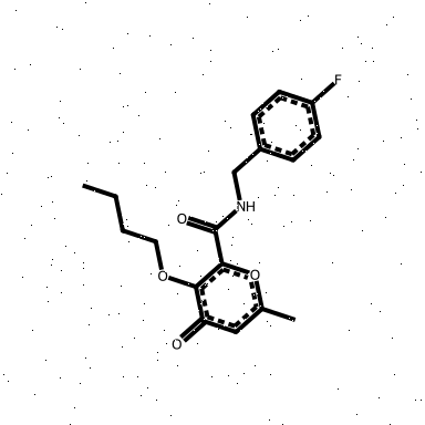 CCCCOc1c(C(=O)NCc2ccc(F)cc2)oc(C)cc1=O